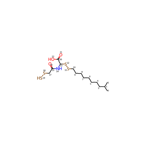 CC(C)CCCCCCCCSSC(NC(=O)CSS)C(=O)O